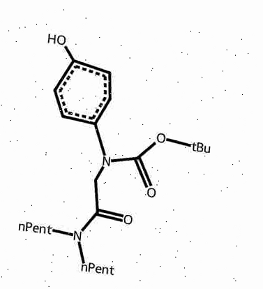 CCCCCN(CCCCC)C(=O)CN(C(=O)OC(C)(C)C)c1ccc(O)cc1